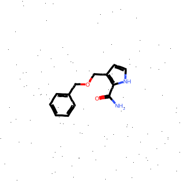 NC(=O)c1[nH]ccc1[CH]OCc1ccccc1